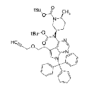 C#CCOCCc1cn(C(c2ccccc2)(c2ccccc2)c2ccccc2)c2ncnc(N(C(=O)OC(C)(C)C)[C@@H]3CC[C@H](C)N(C(=O)OC(C)(C)C)C3)c12